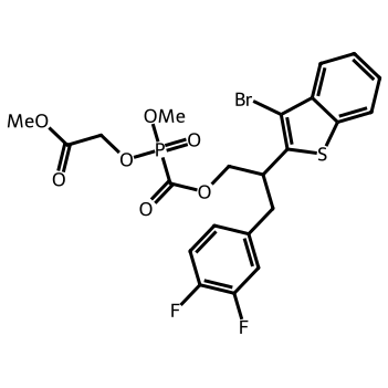 COC(=O)COP(=O)(OC)C(=O)OCC(Cc1ccc(F)c(F)c1)c1sc2ccccc2c1Br